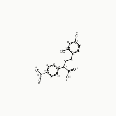 O=C(O)N(CCc1ccc(Cl)cc1Cl)c1ccc([N+](=O)[O-])cc1